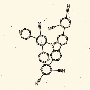 N#Cc1ccc(-c2ccc3c4ccc(-c5ccc(C#N)cc5C#N)cc4n(-c4cc(C#N)c(-c5ccncc5)cc4-c4ccccc4)c3c2)c(C#N)c1